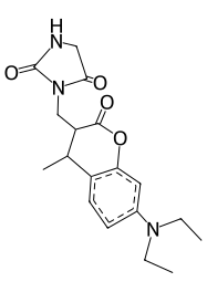 CCN(CC)c1ccc2c(c1)OC(=O)C(CN1C(=O)CNC1=O)C2C